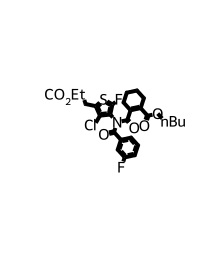 CCCCOC(=O)C1=C(C(=O)N(C(=O)c2cccc(F)c2)c2c(F)sc(CC(=O)OCC)c2Cl)CCCC1